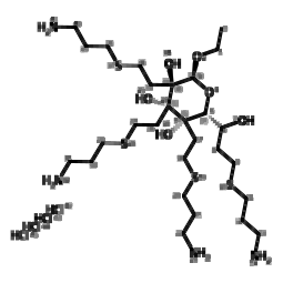 CCO[C@H]1O[C@H](C(O)CCSCCCN)[C@@](O)(CCSCCCN)[C@@](O)(CCSCCCN)[C@]1(O)CCSCCCN.Cl.Cl.Cl.Cl